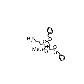 COC(=O)[C@H](CCCCN)N(CC(=O)OCc1ccccc1)CC(=O)OCc1ccccc1